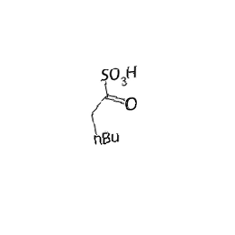 CCCCCC(=O)S(=O)(=O)O